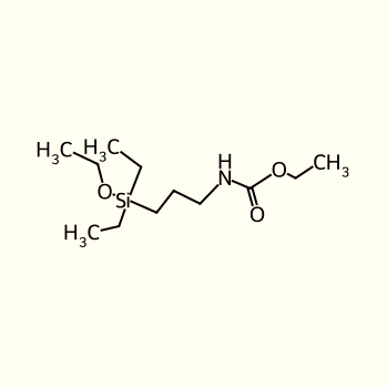 CCOC(=O)NCCC[Si](CC)(CC)OCC